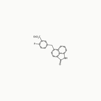 CCOC(=O)c1cc(Cc2ccc3c4c(cccc24)NC3=O)ccc1F